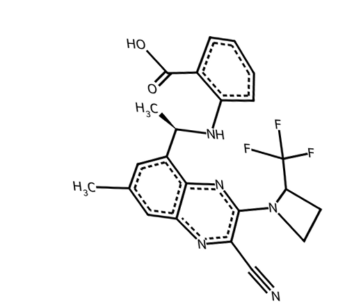 Cc1cc([C@@H](C)Nc2ccccc2C(=O)O)c2nc(N3CCC3C(F)(F)F)c(C#N)nc2c1